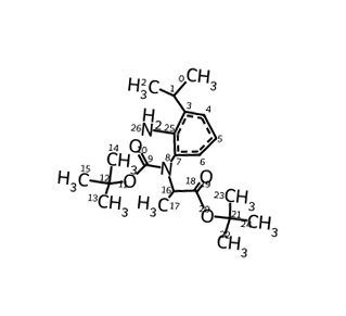 CC(C)c1cccc(N(C(=O)OC(C)(C)C)C(C)C(=O)OC(C)(C)C)c1N